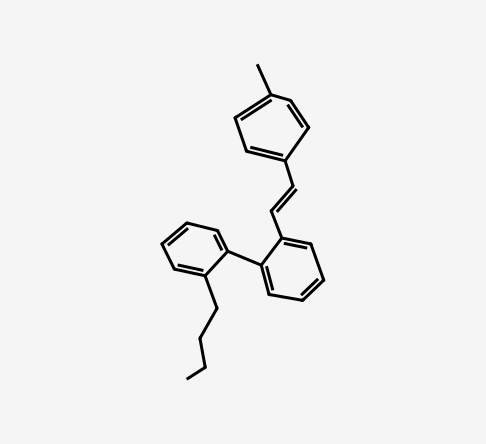 CCCCc1ccccc1-c1ccccc1/C=C/c1ccc(C)cc1